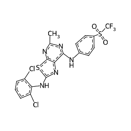 Cc1nc(Nc2ccc(S(=O)(=O)C(F)(F)F)cc2)c2nc(Nc3c(Cl)cccc3Cl)sc2n1